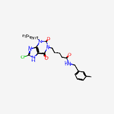 CCCCCn1c(=O)n(CCCCC(=O)NCc2cccc(C)c2)c(=O)c2[nH]c(Cl)nc21